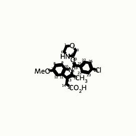 C1COCCN1.COc1ccc2c(c1)c(CC(=O)O)c(C)n2C(=O)c1ccc(Cl)cc1